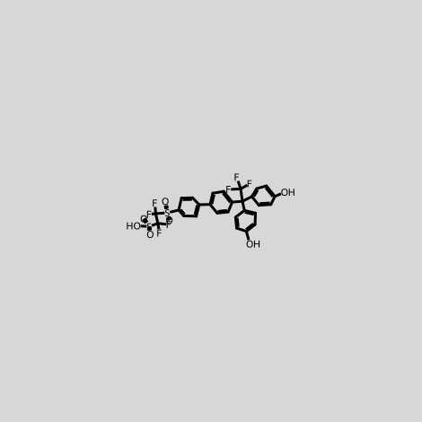 O=S(=O)(O)C(F)(F)C(F)(F)S(=O)(=O)c1ccc(-c2ccc(C(c3ccc(O)cc3)(c3ccc(O)cc3)C(F)(F)F)cc2)cc1